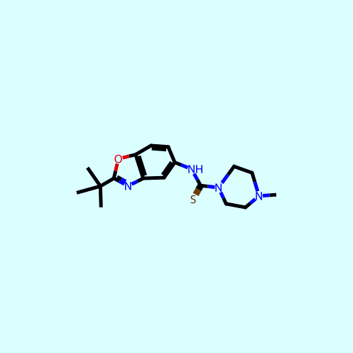 CN1CCN(C(=S)Nc2ccc3oc(C(C)(C)C)nc3c2)CC1